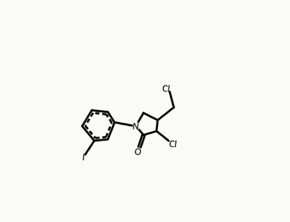 O=C1C(Cl)C(CCl)CN1c1cccc(I)c1